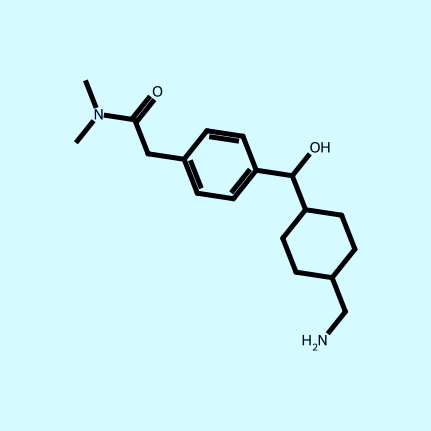 CN(C)C(=O)Cc1ccc(C(O)C2CCC(CN)CC2)cc1